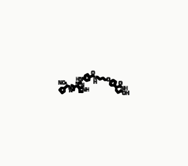 N#CC[C@@H](C1CCCC1)n1cc(-c2nc(Nc3ccc(C(=O)NCCCCOc4ccc(C5CCC(O)NC5=O)cc4)cc3)nc3[nH]ccc23)cn1